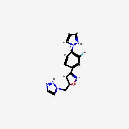 Fc1cc(C2=NOC(Cn3ccnn3)C2)ccc1-n1cccn1